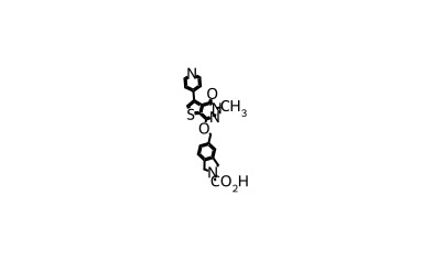 Cn1nc(OCc2ccc3c(c2)CN(C(=O)O)C3)c2scc(-c3ccncc3)c2c1=O